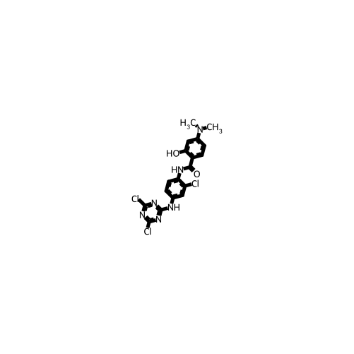 CN(C)c1ccc(C(=O)Nc2ccc(Nc3nc(Cl)nc(Cl)n3)cc2Cl)c(O)c1